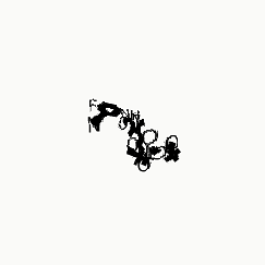 C#CC1(N(COC(=O)C(C)(C)C)C(=O)C(=O)c2c(C)c(C(=O)Nc3ccc(F)c(C#N)c3)n(C)c2C)COC1